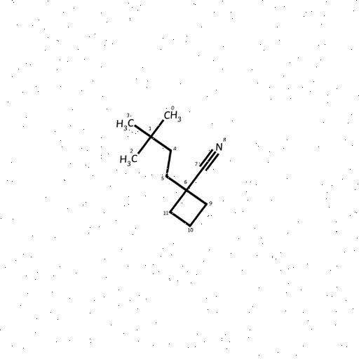 CC(C)(C)CCC1(C#N)CCC1